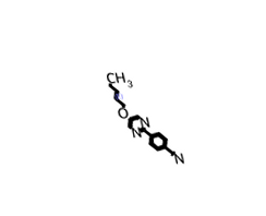 CC/C=C/COc1cnc(-c2ccc(C#N)cc2)nc1